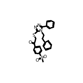 CS(=O)(=O)c1ccc(C(=O)CSc2nnc(-c3ccccc3)n2CCc2ccccc2)cc1